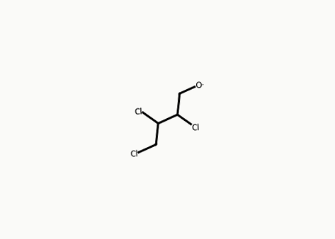 [O]CC(Cl)C(Cl)CCl